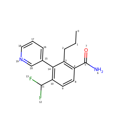 CCCc1c(C(N)=O)ccc(C(F)F)c1-c1cccnc1